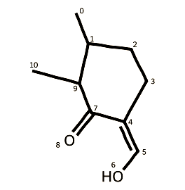 CC1CCC(=CO)C(=O)C1C